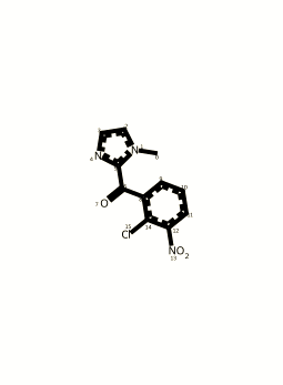 Cn1ccnc1C(=O)c1cccc([N+](=O)[O-])c1Cl